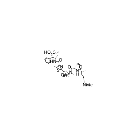 CNCCCC[C@@H](C)C(=O)N[C@H](C(=O)N(C)[C@H](C[C@@H](OC(C)=O)c1nc(C(=O)N[C@@H](Cc2ccccc2)C[C@H](C)C(=O)O)c(C)s1)C(C)C)C(C)C